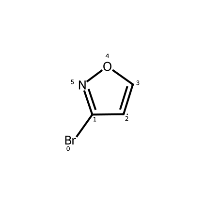 Brc1[c]con1